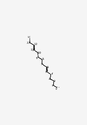 [CH2]CCCCC=CCCCCC=CCC